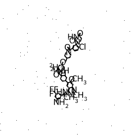 [2H]C1([2H])CC(OCC2CCN(C(=O)c3ccc(Cl)c(N4CCC(=O)NC4=O)c3)CC2)CC([2H])([2H])N1C(=O)C1CCC(c2cc3c(N[C@H](C)c4cc(N)cc(C(F)(F)F)c4)nc(C)nc3cc2OC)CC1